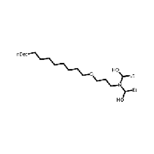 CCCCCCCCCCCCCCCCCCOCCCN(C(O)CC)C(O)CC